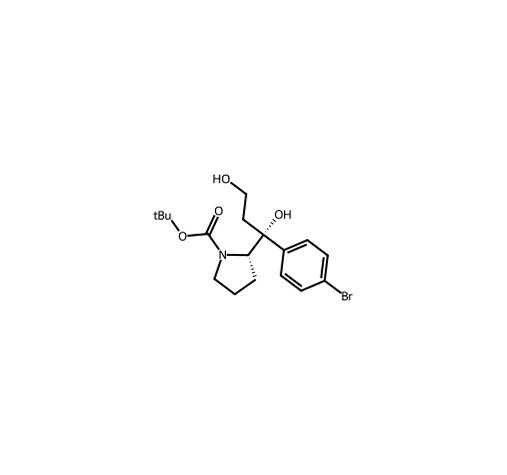 CC(C)(C)OC(=O)N1CCC[C@H]1[C@@](O)(CCO)c1ccc(Br)cc1